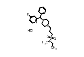 CCN(C)S(=O)(=O)CCCN1CCN(C(c2ccccc2)c2cc(F)ccn2)CC1.Cl